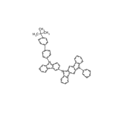 CC(C)(C)c1ccc(-c2ccc(-n3c4ccccc4c4cc(-n5c6ccccc6c6cc7c(cc65)c5ccccc5n7-c5ccccc5)ccc43)cc2)cc1